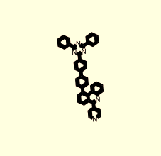 c1ccc(-c2nc(-c3ccccc3)nc(-c3ccc(-c4ccc(-c5cccc6c(-c7ccncc7)nc7ccccc7c56)cc4)cc3)n2)cc1